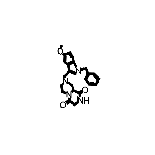 COc1ccc2c(c1)c(CN1CCN3C(=O)CNC(=O)C3C1)cn2Cc1ccccc1